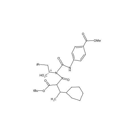 COC(=O)c1ccc(NC(=O)N(C(=O)C(C(=O)OC(C)(C)C)C(C)C2CCCCC2)[C@@H](CC(C)C)C(=O)O)cc1